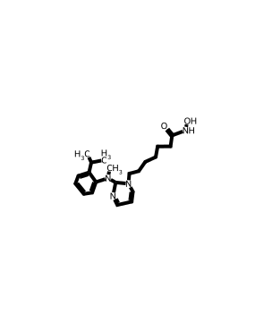 CC(C)c1ccccc1N(C)C1N=CC=CN1CCCCCCC(=O)NO